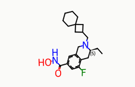 CC[C@H]1Cc2c(F)cc(C(=O)NO)cc2CN1CC1CC2(CCCCC2)C1